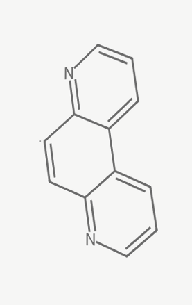 [c]1cc2ncccc2c2cccnc12